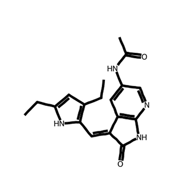 CCc1cc(CC)c(C=C2C(=O)Nc3ncc(NC(C)=O)cc32)[nH]1